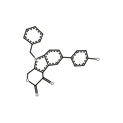 O=C1OCc2c(c3cc(-c4ccc(Cl)cc4)ccc3n2Cc2ccccc2)C1=O